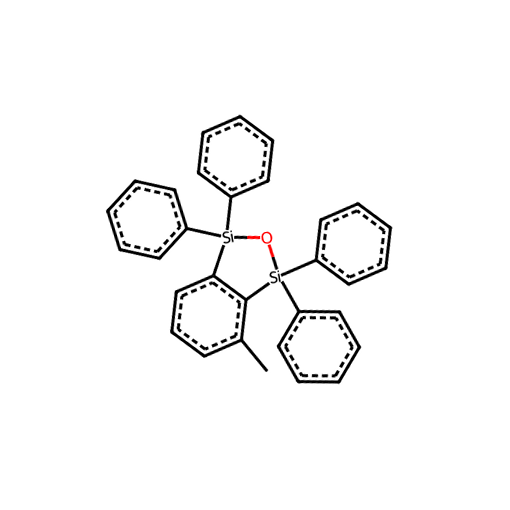 Cc1cccc2c1[Si](c1ccccc1)(c1ccccc1)O[Si]2(c1ccccc1)c1ccccc1